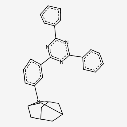 c1ccc(-c2nc(-c3ccccc3)nc(-c3cccc(N4C5CC6CC(C5)CC4C6)c3)n2)cc1